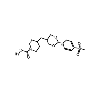 CC(C)OC(=O)N1CCC(CC2COC([C@H]3C=CC(S(C)(=O)=O)=CC3)OC2)CC1